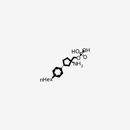 CCCCCCc1ccc([C@@H]2CC[C@](N)(COP(=O)(O)O)C2)cc1